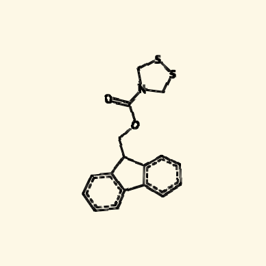 O=C(OCC1c2ccccc2-c2ccccc21)N1CSSC1